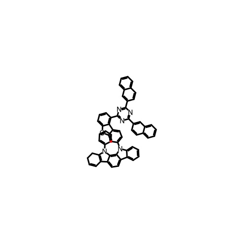 C1=Cc2c(n(-c3ccccc3)c3c2ccc2c4ccccc4n(-c4ccc5c(c4)oc4cccc(-c6nc(-c7ccc8ccccc8c7)nc(-c7ccc8ccccc8c7)n6)c45)c23)CC1